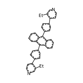 CCc1cnccc1-c1ccc(-c2c3ccccc3c(-c3ccc(-c4ccncc4CC)cc3)c3ccccc23)cc1